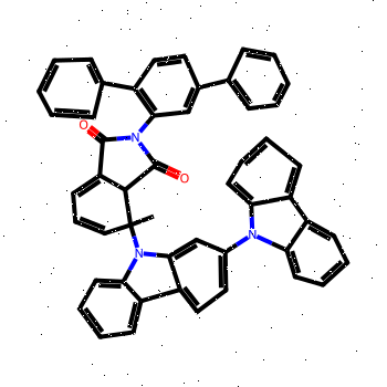 CC1(n2c3ccccc3c3ccc(-n4c5ccccc5c5ccccc54)cc32)C=CC=C2C(=O)N(c3cc(-c4ccccc4)ccc3-c3ccccc3)C(=O)C21